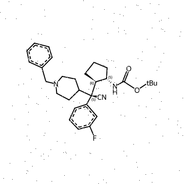 CC(C)(C)OC(=O)N[C@H]1CCC[C@@H]1[C@](C#N)(c1cccc(F)c1)C1CCN(Cc2ccccc2)CC1